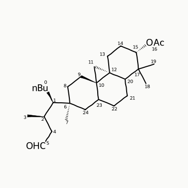 CCCC[C@H]([C@H](C)CC=O)[C@@]1(C)CC[C@@]23C[C@@]24CC[C@H](OC(C)=O)C(C)(C)C4CCC3C1